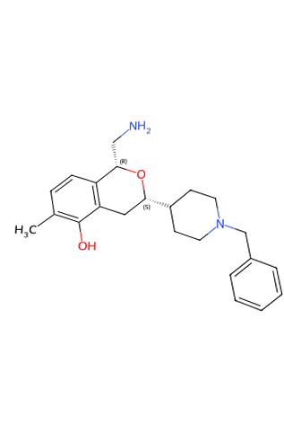 Cc1ccc2c(c1O)C[C@@H](C1CCN(Cc3ccccc3)CC1)O[C@H]2CN